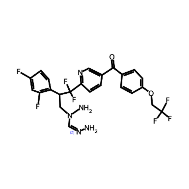 N/N=C\N(N)CC(c1ccc(F)cc1F)C(F)(F)c1ccc(C(=O)c2ccc(OCC(F)(F)F)cc2)cn1